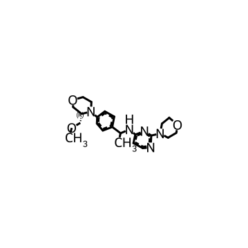 COC[C@@H]1COCCN1c1ccc(C(C)Nc2ccnc(N3CCOCC3)n2)cc1